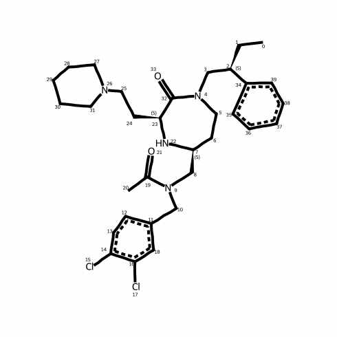 CC[C@H](CN1CC[C@@H](CN(Cc2ccc(Cl)c(Cl)c2)C(C)=O)N[C@@H](CCN2CCCCC2)C1=O)c1ccccc1